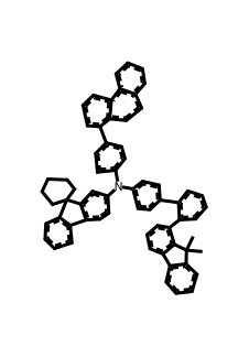 CC1(C)c2ccccc2-c2cccc(-c3ccccc3-c3ccc(N(c4ccc(-c5cccc6c5ccc5ccccc56)cc4)c4ccc5c(c4)C4(CCCCC4)c4ccccc4-5)cc3)c21